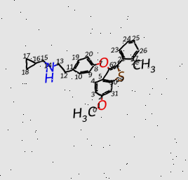 COc1ccc2c(Oc3ccc(CCNCC4CC4)cc3)c(-c3ccccc3C)sc2c1